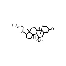 CC(=O)O[C@@H]1CC2=CC(=O)C=CC2(C)[C@H]2CCC3(C)C([C@H](C)CC(=O)O)CC[C@H]3C12